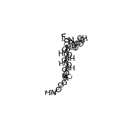 CC[C@@]1(O)C(=O)OCc2c1cc1n(c2=O)Cc2c-1nc1cc(F)c(C)c3c1c2[C@@H](NC(=O)CNC(=O)CNC(=O)CNC(=O)CNC(=O)COC1CCCCCc2c1nnn2CCOCCOCCOCCNC)CC3